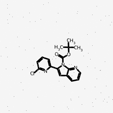 CC(C)(C)OC(=O)n1c(-c2cccc(Cl)n2)cc2cccnc21